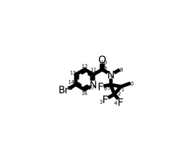 CC1C(F)(F)C1(F)N(C)C(=O)c1ccc(Br)cn1